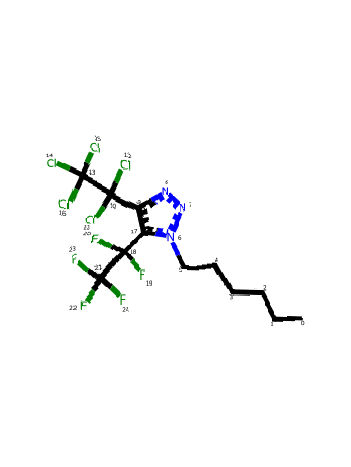 CCCCCCn1nnc(C(Cl)(Cl)C(Cl)(Cl)Cl)c1C(F)(F)C(F)(F)F